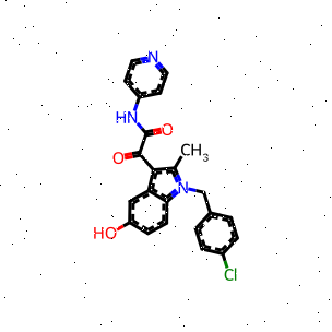 Cc1c(C(=O)C(=O)Nc2ccncc2)c2cc(O)ccc2n1Cc1ccc(Cl)cc1